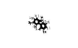 [2H]c1c([2H])c([2H])c2c([nH]c3c([2H])c([2H])c(Br)c([2H])c32)c1[2H]